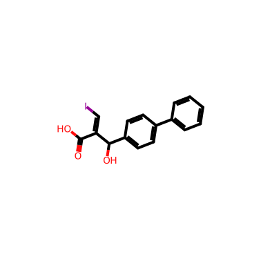 O=C(O)C(=CI)C(O)c1ccc(-c2ccccc2)cc1